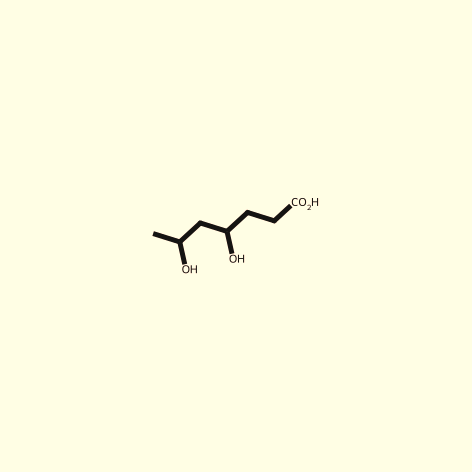 CC(O)CC(O)CCC(=O)O